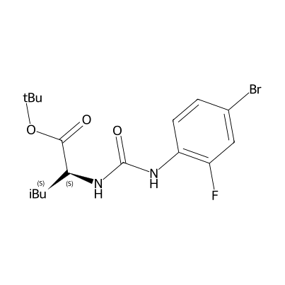 CC[C@H](C)[C@H](NC(=O)Nc1ccc(Br)cc1F)C(=O)OC(C)(C)C